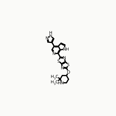 CC1(C)CC(Oc2nc3sc(-c4ncc(-c5cn[nH]c5)c5cc[nH]c45)nc3s2)CCN1